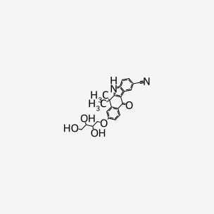 CC1(C)c2cc(OC[C@@H](O)[C@H](O)CO)ccc2C(=O)c2c1[nH]c1ccc(C#N)cc21